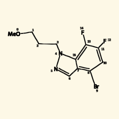 COCCCn1ncc2c(Br)cc(F)c(F)c21